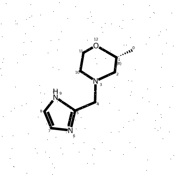 C[C@@H]1CN(Cc2ncc[nH]2)CCO1